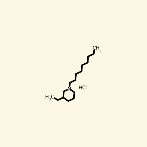 CCCCCCCCCN1CCCC(CC)C1.Cl